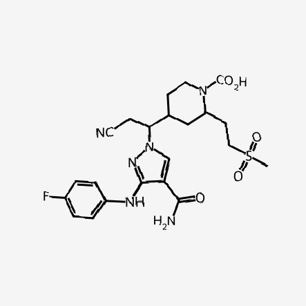 CS(=O)(=O)CCC1CC(C(CC#N)n2cc(C(N)=O)c(Nc3ccc(F)cc3)n2)CCN1C(=O)O